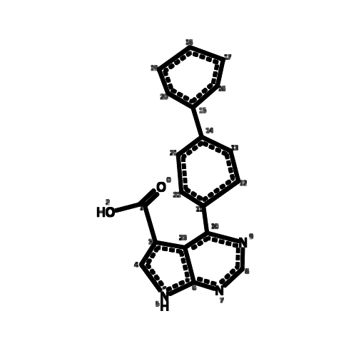 O=C(O)c1c[nH]c2ncnc(-c3ccc(-c4ccccc4)cc3)c12